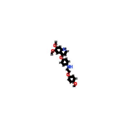 COc1ccc(OCCNc2ccc(Oc3ccnc4cc(OC)c(OC)cc34)cc2)cc1